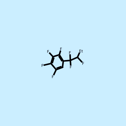 CCC(F)C(F)(F)c1[c]c(F)c(F)c(F)c1F